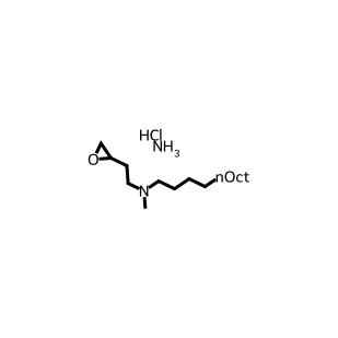 CCCCCCCCCCCCN(C)CCC1CO1.Cl.N